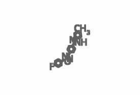 Cc1ccc2[nH]c(-c3ccc(-c4noc(-c5ccc(F)cc5)n4)cc3)nc2c1